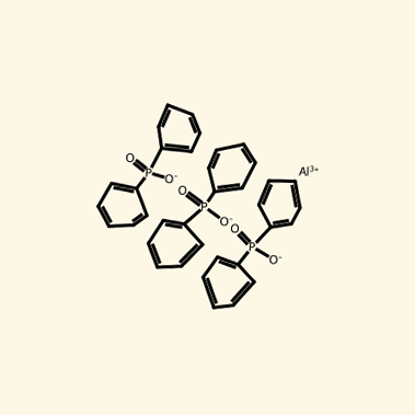 O=P([O-])(c1ccccc1)c1ccccc1.O=P([O-])(c1ccccc1)c1ccccc1.O=P([O-])(c1ccccc1)c1ccccc1.[Al+3]